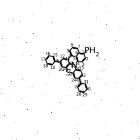 Pc1ccc2c3c1cccc3c1cc(-c3ccccc3)cc3sc4cc(-c5ccccc5)ccc4n2-c31